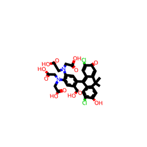 CC1(C)C2=CC(=O)C(Cl)=CC2=C(c2cc(N(CC(=O)O)CC(=O)O)c(N(CC(=O)O)CC(=O)O)cc2C(=O)O)c2cc(Cl)c(O)cc21